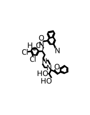 CN(C[C@@H](CCN1CCN([C@@H](c2cc3ccccc3o2)[C@H](O)CO)CC1)c1ccc(Cl)c(Cl)c1)C(=O)c1cc(C#N)cc2ccccc12